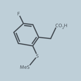 CSSc1ccc(F)cc1CC(=O)O